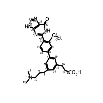 CCOc1cc(-c2cc(CCCN(C)C)cc(CCC(=O)O)c2)ccc1-c1nc2[nH]nnc2c(=O)[nH]1